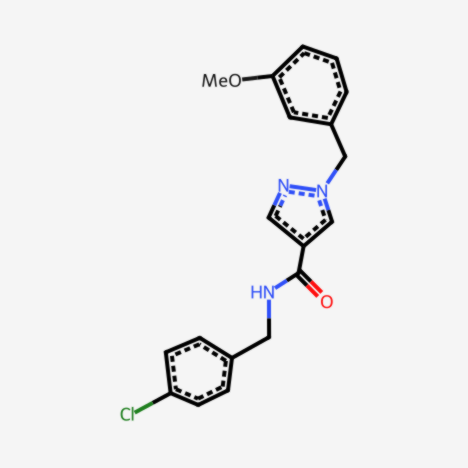 COc1cccc(Cn2cc(C(=O)NCc3ccc(Cl)cc3)cn2)c1